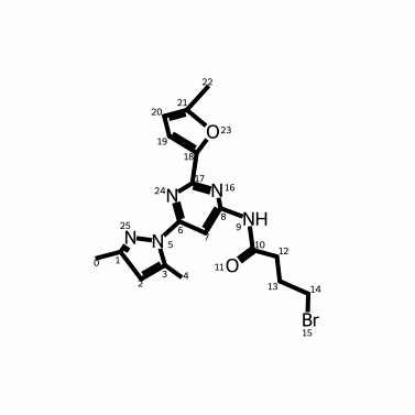 Cc1cc(C)n(-c2cc(NC(=O)CCCBr)nc(-c3ccc(C)o3)n2)n1